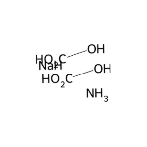 N.O=C(O)O.O=C(O)O.[NaH]